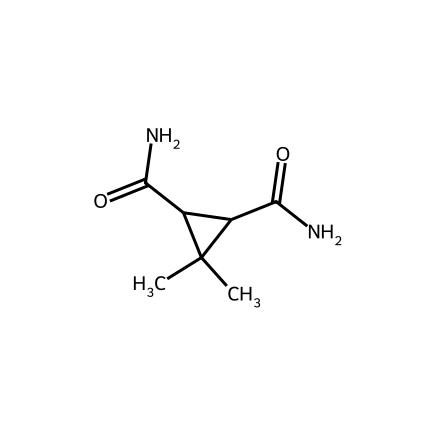 CC1(C)C(C(N)=O)C1C(N)=O